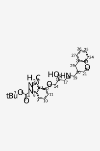 Cc1nn(C(=O)OC(C)(C)C)c2cccc(OC[C@@H](O)CNCC3COc4ccccc4C3)c12